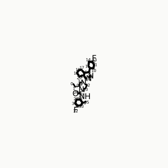 CC[C@H]1CN(c2nnc(-c3ccc(F)cc3)c3ccccc23)CCN1C(=O)Nc1ccc(F)cc1C